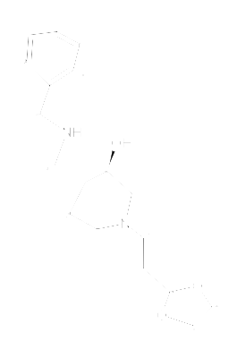 O[C@H]1CN(CCC2OCCO2)CC[C@@H]1CNCc1ccccc1